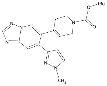 Cn1ccc(-c2cc3ncnn3cc2C2=CCN(C(=O)OC(C)(C)C)CC2)n1